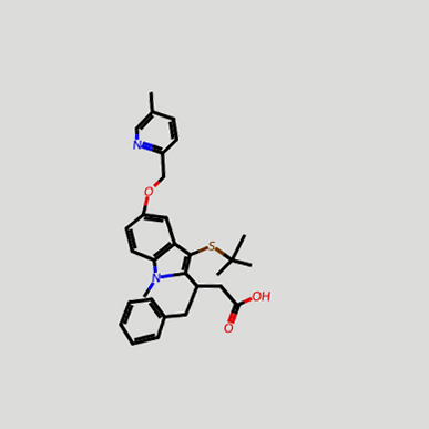 Cc1ccc(COc2ccc3c(c2)c(SC(C)(C)C)c(C(CC(=O)O)Cc2ccccc2)n3C)nc1